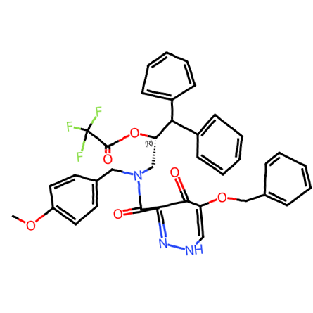 COc1ccc(CN(C[C@H](OC(=O)C(F)(F)F)C(c2ccccc2)c2ccccc2)C(=O)c2n[nH]cc(OCc3ccccc3)c2=O)cc1